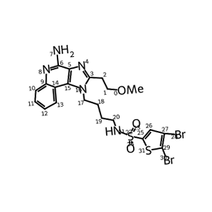 COCCc1nc2c(N)nc3ccccc3c2n1CCCCNS(=O)(=O)c1cc(Br)c(Br)s1